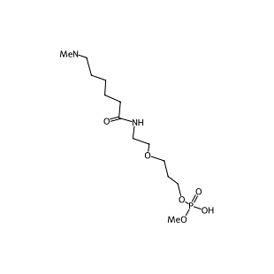 CNCCCCCC(=O)NCCOCCCOP(=O)(O)OC